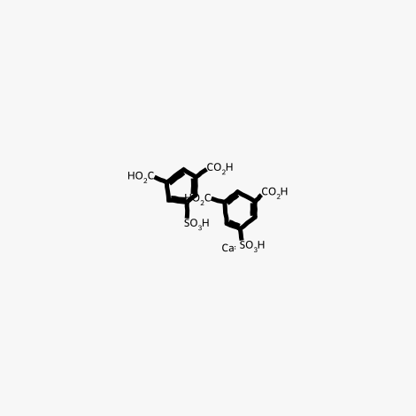 O=C(O)c1cc(C(=O)O)cc(S(=O)(=O)O)c1.O=C(O)c1cc(C(=O)O)cc(S(=O)(=O)O)c1.[Ca]